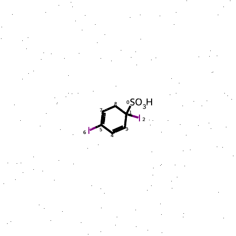 O=S(=O)(O)C1(I)C=CC(I)=CC1